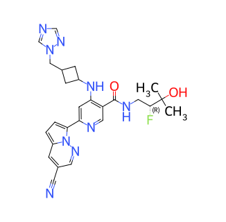 CC(C)(O)[C@H](F)CNC(=O)c1cnc(-c2ccc3cc(C#N)cnn23)cc1NC1CC(Cn2cncn2)C1